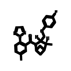 Cc1ccc(-n2nccn2)c(C(=O)N2C3CC(C3)[C@H](C)[C@H]2COc2ccc(F)cc2)c1